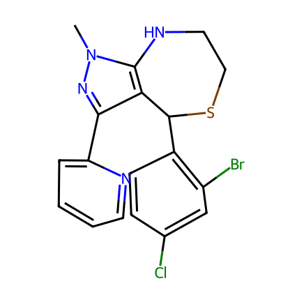 Cn1nc(-c2ccccn2)c2c1NCCSC2c1ccc(Cl)cc1Br